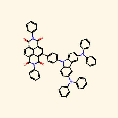 O=C1c2ccc3c4c(c(-c5ccc(-n6c7ccc(N(c8ccccc8)c8ccccc8)cc7c7cc(N(c8ccccc8)c8ccccc8)ccc76)cc5)cc(c24)C(=O)N1c1ccccc1)C(=O)N(c1ccccc1)C3=O